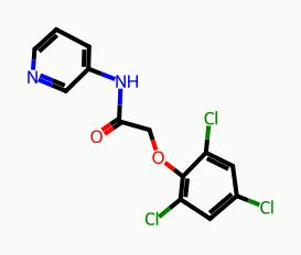 O=C(COc1c(Cl)cc(Cl)cc1Cl)Nc1cccnc1